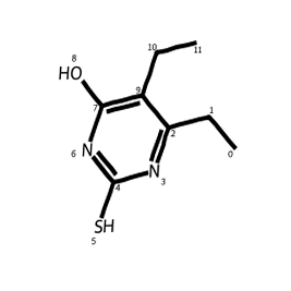 CCc1nc(S)nc(O)c1CC